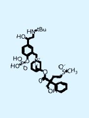 C[S+]([O-])CCC(CO)(C(=O)OC1C[N+]2(Cc3cc(C(O)CNC(C)(C)C)ccc3OP(=O)(O)O)CCC1CC2)c1ccccc1